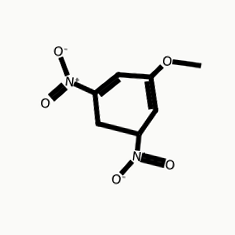 COC1=CC([N+](=O)[O-])CC([N+](=O)[O-])=C1